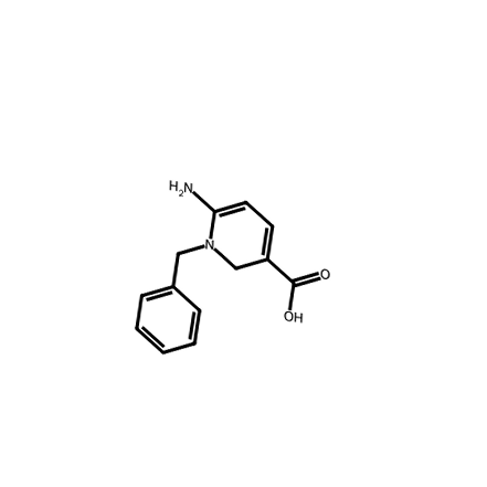 NC1=CC=C(C(=O)O)CN1Cc1ccccc1